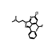 CN(C)CCn1nc(-c2ccccc2)c2c(C(F)F)cc(Cl)nc21